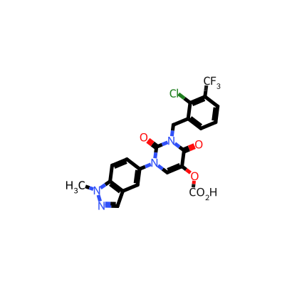 Cn1ncc2cc(-n3cc(OC(=O)O)c(=O)n(Cc4cccc(C(F)(F)F)c4Cl)c3=O)ccc21